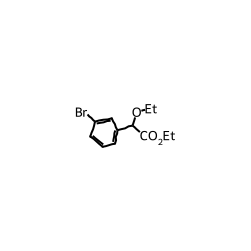 CCOC(=O)C(OCC)c1cccc(Br)c1